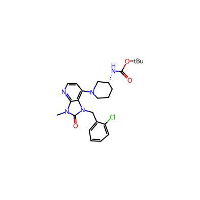 Cn1c(=O)n(Cc2ccccc2Cl)c2c(N3CCC[C@@H](NC(=O)OC(C)(C)C)C3)ccnc21